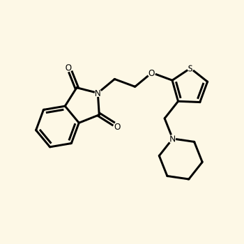 O=C1c2ccccc2C(=O)N1CCOc1sccc1CN1CCCCC1